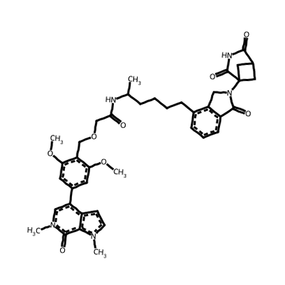 COc1cc(-c2cn(C)c(=O)c3c2ccn3C)cc(OC)c1COCC(=O)NC(C)CCCCc1cccc2c1CN(C13CC(C1)C(=O)NC3=O)C2=O